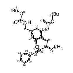 C=c1nc(CNC(=O)OC(C)(C)C)cc(OC(=O)OC(C)(C)C)/c1=C/C(C#Cc1ccccc1)=C\C